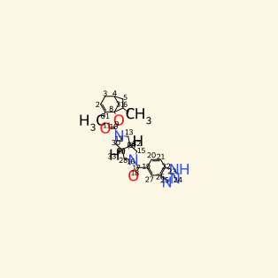 CC1=CCC2CC(C)C1(OC(=O)N1C[C@@H]3CN(C(=O)c4ccc5[nH]nnc5c4)C[C@@H]3C1)C2